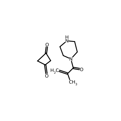 C=C(C)C(=O)N1CCNCC1.O=C1CC(=O)C1